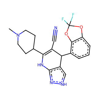 CN1CCC(C2=C(C#N)C(c3cccc4c3OC(F)(F)O4)c3c[nH]nc3N2)CC1